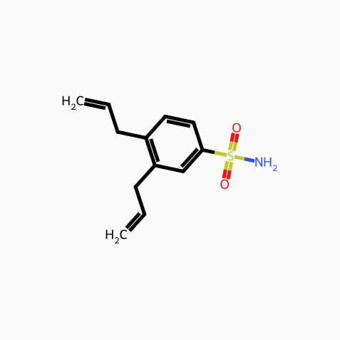 C=CCc1ccc(S(N)(=O)=O)cc1CC=C